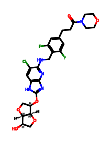 O=C(CCc1cc(F)c(CNc2nc3nc(O[C@@H]4CO[C@H]5[C@@H]4OC[C@H]5O)[nH]c3cc2Cl)c(F)c1)N1CCOCC1